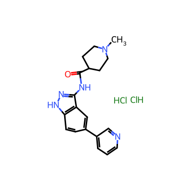 CN1CCC(C(=O)Nc2n[nH]c3ccc(-c4cccnc4)cc23)CC1.Cl.Cl